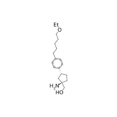 CCOCCCCCc1ccc([C@@H]2CC[C@](N)(CO)C2)cc1